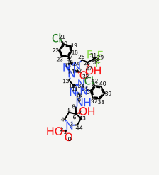 O=C(O)N1CCC(O)(CNc2nc(Cn3nc(-c4ccc(Cl)cc4)n(C[C@H](O)C(F)(F)F)c3=O)nn2-c2ccccc2Cl)CC1